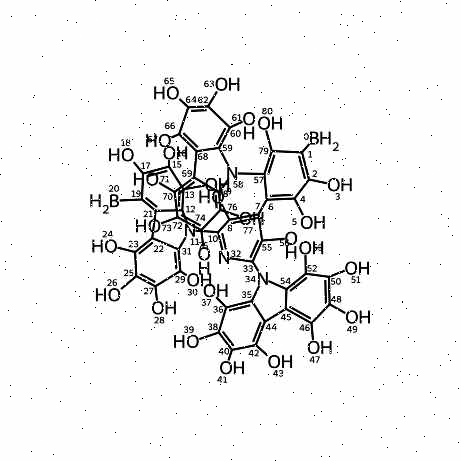 Bc1c(O)c(O)c(-c2c(O)c(-n3c4c(O)c(O)c(O)c(B)c4c4c(O)c(O)c(O)c(O)c43)nc(-n3c4c(O)c(O)c(O)c(O)c4c4c(O)c(O)c(O)c(O)c43)c2O)c(-n2c3c(O)c(O)c(O)c(O)c3c3c(O)c(O)c(O)c(O)c32)c1O